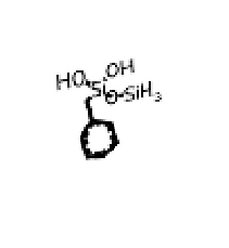 O[Si](O)(Cc1ccccc1)O[SiH3]